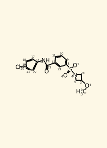 COC1CN(S(=O)(=O)c2cccc(C(=O)Nc3ccc(Cl)cc3)c2)C1